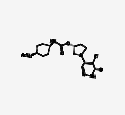 CC(=O)N[C@H]1CC[C@@H](NC(=O)O[C@@H]2CCN(c3cn[nH]c(=O)c3Cl)C2)CC1